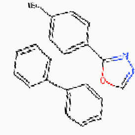 CC(C)(C)c1ccc(-c2nnco2)cc1.c1ccc(-c2ccccc2)cc1